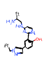 CCC(N)CNc1ccnc(-c2cc(-c3cnn(CC(C)C)c3)ccc2O)n1